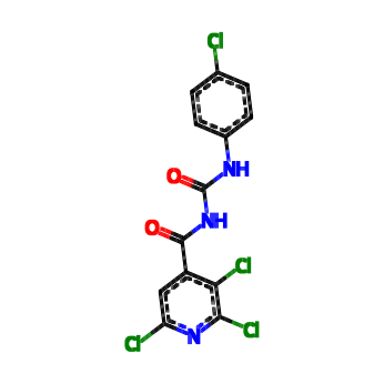 O=C(NC(=O)c1cc(Cl)nc(Cl)c1Cl)Nc1ccc(Cl)cc1